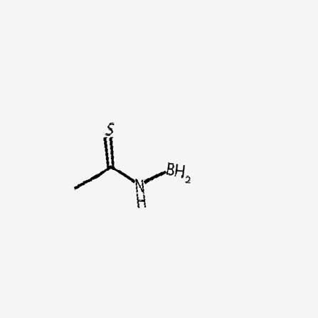 BNC(C)=S